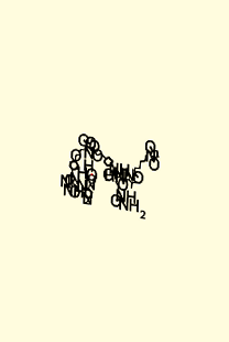 COC(=O)[C@H](CCOc1ccc(-c2cnc(N)c(C(=O)Nc3cnccc3N3CCOCC3)n2)cc1)NC(=O)OCc1ccc(NC(=O)[C@H](CCCNC(N)=O)NC(=O)[C@@H](NC(=O)CCCCCN2C(=O)C=CC2=O)C(C)C)cc1